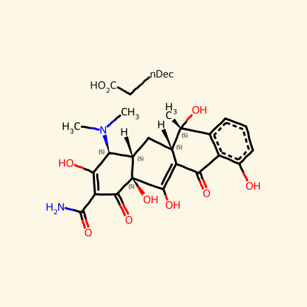 CCCCCCCCCCCC(=O)O.CN(C)[C@@H]1C(O)=C(C(N)=O)C(=O)[C@@]2(O)C(O)=C3C(=O)c4c(O)cccc4[C@@](C)(O)[C@H]3C[C@@H]12